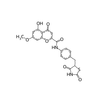 COc1cc(O)c2c(=O)cc(C(=O)Nc3ccc(CC4SC(=O)NC4=O)cc3)oc2c1